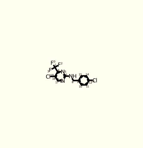 FC(F)(F)c1nc(NCc2ccc(Cl)cc2)ncc1Cl